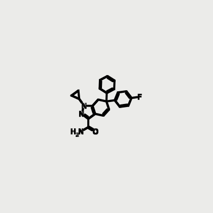 NC(=O)c1nn(C2CC2)c2c1C=CC(c1ccccc1)(c1ccc(F)cc1)C2